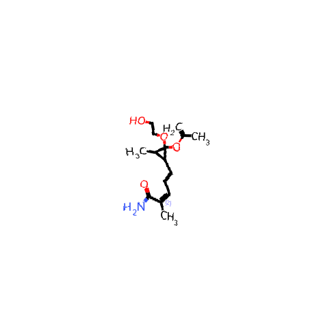 C=C(C)OC1(OCCO)C(C)C1CC/C=C(/C)C(N)=O